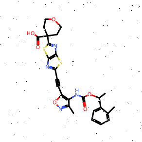 Cc1ccccc1C(C)OC(=O)Nc1c(C)noc1C#Cc1nc2sc(C3(C(=O)O)CCOCC3)nc2s1